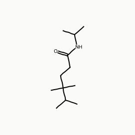 CC(C)NC(=O)CCC(C)(C)C(C)C